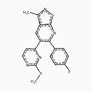 CSc1nccc(-c2cc3c(C)nsc3nc2-c2ccc(F)cc2)n1